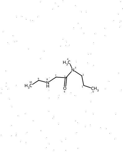 CCCN(C)C(=O)CNCC